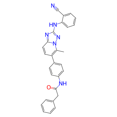 Cc1c(-c2ccc(NC(=O)Cc3ccccc3)cc2)ccc2nc(Nc3ccccc3C#N)nn12